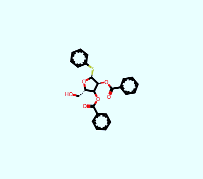 O=C(OC1[C@H](CO)O[C@@H](Sc2ccccc2)[C@H]1OC(=O)c1ccccc1)c1ccccc1